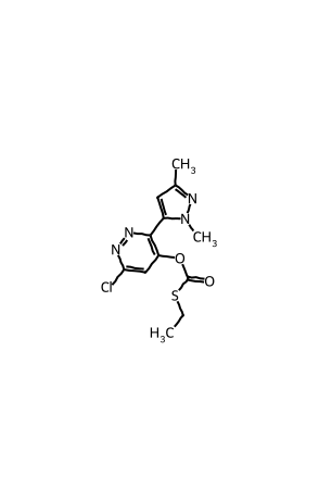 CCSC(=O)Oc1cc(Cl)nnc1-c1cc(C)nn1C